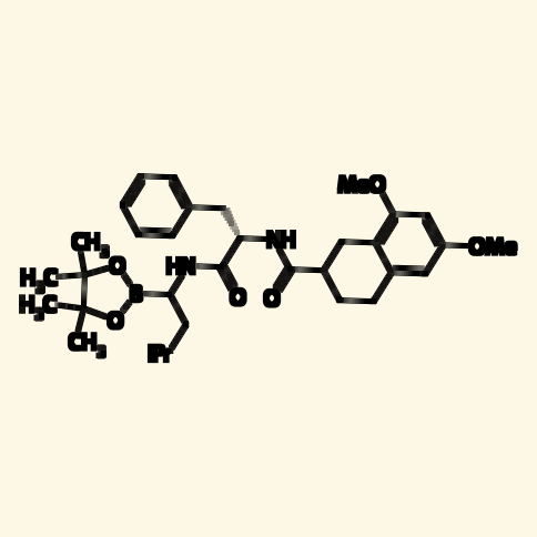 COc1cc2c(c(OC)c1)CC(C(=O)N[C@@H](Cc1ccccc1)C(=O)NC(CC(C)C)B1OC(C)(C)C(C)(C)O1)CC2